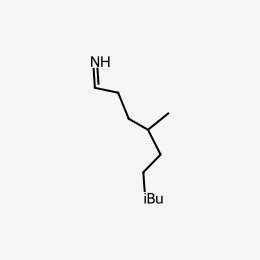 CCC(C)CCC(C)CCC=N